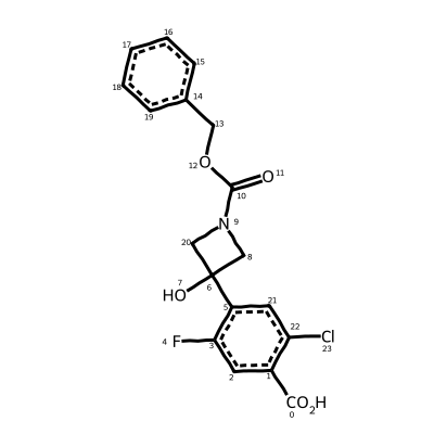 O=C(O)c1cc(F)c(C2(O)CN(C(=O)OCc3ccccc3)C2)cc1Cl